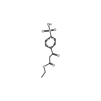 CCOC(=O)CC(=O)c1ccc(S(=O)(=O)O)cc1